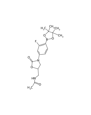 CC(=O)NCC1CN(c2ccc(B3OC(C)(C)C(C)(C)O3)c(F)c2)C(=O)O1